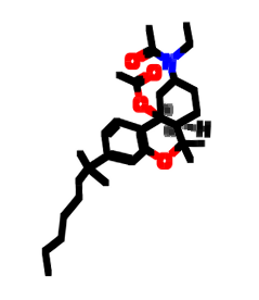 CCCCCCC(C)(C)c1ccc2c(c1)OC(C)(C)[C@@H]1CCC(N(CC)C(C)=O)C[C@@]21OC(C)=O